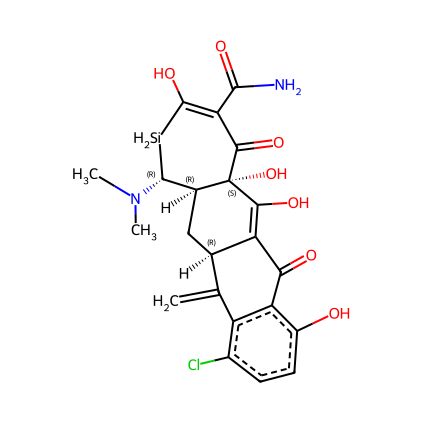 C=C1c2c(Cl)ccc(O)c2C(=O)C2=C(O)[C@]3(O)C(=O)C(C(N)=O)=C(O)[SiH2][C@@H](N(C)C)[C@@H]3C[C@H]12